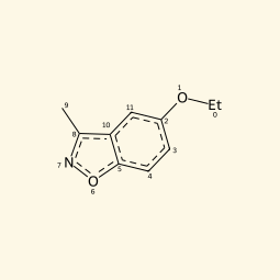 CCOc1ccc2onc(C)c2c1